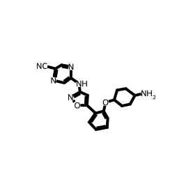 N#Cc1cnc(Nc2cc(-c3ccccc3OC3CCC(N)CC3)on2)cn1